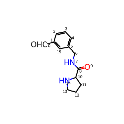 O=Cc1cccc(CNC(=O)C2CCCN2)c1